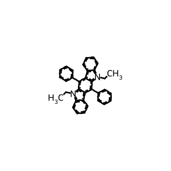 CCn1c2ccccc2c2c(-c3ccccc3)c3c(c(-c4ccccc4)c21)c1ccccc1n3CC